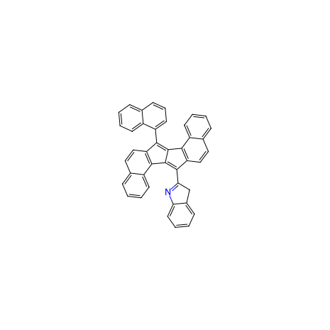 c1ccc2c(c1)CC(C1=C3C(=C(c4cccc5ccccc45)c4ccc5ccccc5c43)c3c1ccc1ccccc31)=N2